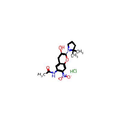 CC(=O)Nc1cc2c(cc1[N+](=O)[O-])O[C@@H](N1CCCC1(C)C)[C@H](O)C2.Cl